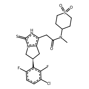 CN(C(=O)Cc1[nH]c(=S)n2c1C[C@@H](c1c(F)ccc(Cl)c1F)C2)C1CCS(=O)(=O)CC1